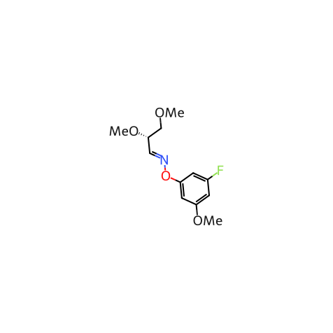 COC[C@H](/C=N/Oc1cc(F)cc(OC)c1)OC